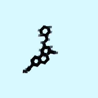 C#Cc1ccc2c(c1)CCn1c-2cc(OCC2COCCO2)nc1=O